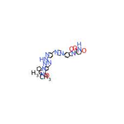 CN(C)C(=O)c1cc2cnc(Nc3ccc(CN4CCN(c5ccc6c(c5)C(=O)N([C@H]5CCC(=O)NC5=O)C6)CC4)cn3)nc2n1C1CCCC1